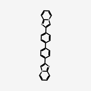 c1ccn2cc(-c3ccc(-c4ccc(-c5cn6ccccc6n5)cc4)cc3)nc2c1